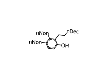 CCCCCCCCCCCCc1c(O)ccc(CCCCCCCCC)c1CCCCCCCCC